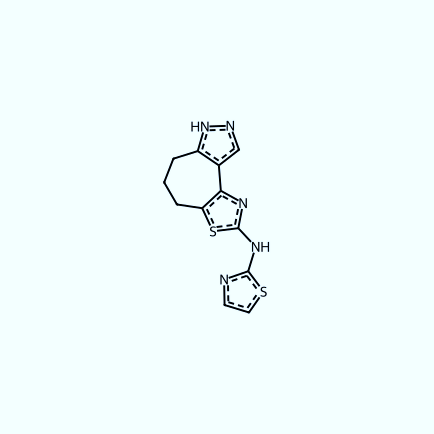 c1csc(Nc2nc3c(s2)CCCc2[nH]ncc2-3)n1